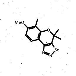 COc1ccc2c(c1C)OC(C)(C)c1[se]nnc1-2